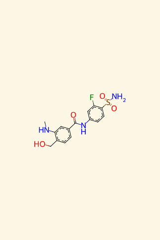 CNc1cc(C(=O)Nc2ccc(S(N)(=O)=O)c(F)c2)ccc1CO